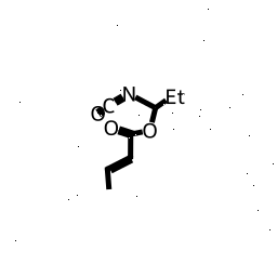 CC=CC(=O)OC(CC)N=C=O